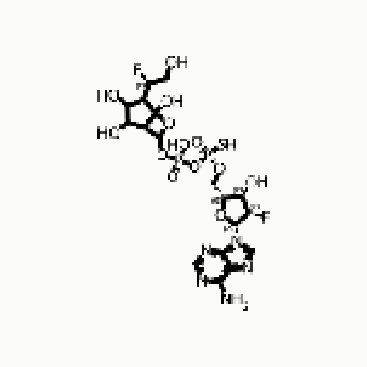 Nc1ncnc2c1ncn2[C@@H]1O[C@H](COP(=O)(S)OP(=O)(O)OC2OC3(O)C2C(O)C(O)C3[C@@H](F)CO)[C@@H](O)[C@H]1F